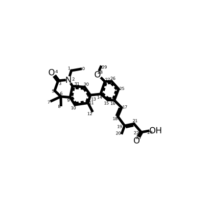 CCN1C(=O)CC(C)(C)c2cc(C)c(-c3cc(C=CC(C)=CC(=O)O)ccc3OC)cc21